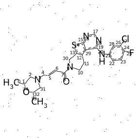 CC1CN(C/C=C/C(=O)N2CCc3c(sc4ncnc(Nc5ccc(F)c(Cl)c5)c34)C2)CC(C)O1